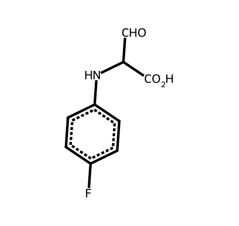 O=CC(Nc1ccc(F)cc1)C(=O)O